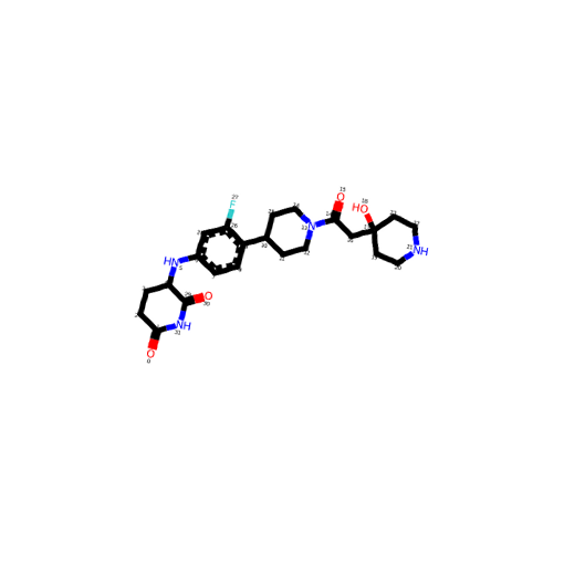 O=C1CCC(Nc2ccc(C3CCN(C(=O)CC4(O)CCNCC4)CC3)c(F)c2)C(=O)N1